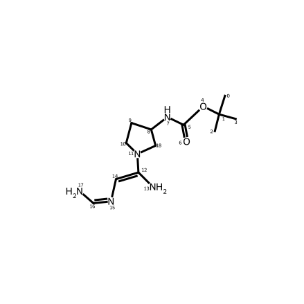 CC(C)(C)OC(=O)NC1CCN(/C(N)=C/N=C\N)C1